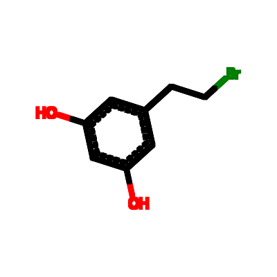 Oc1cc(O)cc(CCBr)c1